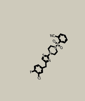 N#Cc1ccccc1S(=O)(=O)N1CCN(c2nc(Cc3ccc(F)c(Cl)c3)cs2)CC1